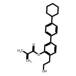 C=C(C)C(=O)Oc1cc(-c2ccc(C3CCCCC3)cc2)ccc1CCO